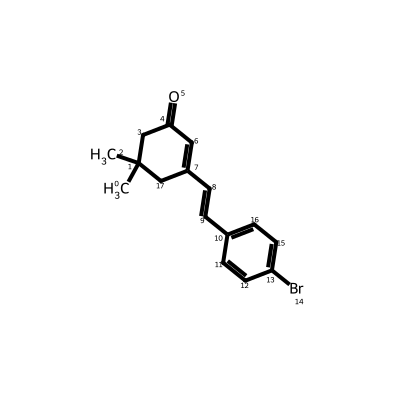 CC1(C)CC(=O)C=C(C=Cc2ccc(Br)cc2)C1